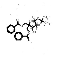 CC1(C)O[C@H]2OC(COC(=O)c3ccccc3)(COC(=O)c3ccccc3)[C@H](O)[C@H]2O1